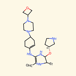 CCC1NC(C=O)=C(NC2=CCC(N3CCN(C4COC4)CC3)CC2)NC1O[C@@H]1CCNC1